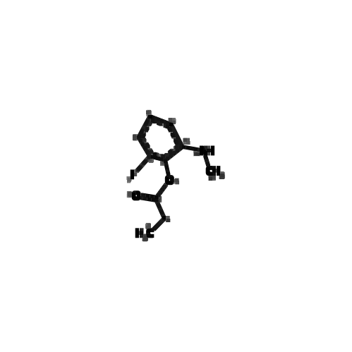 CCC(=O)Oc1c(F)cccc1NC